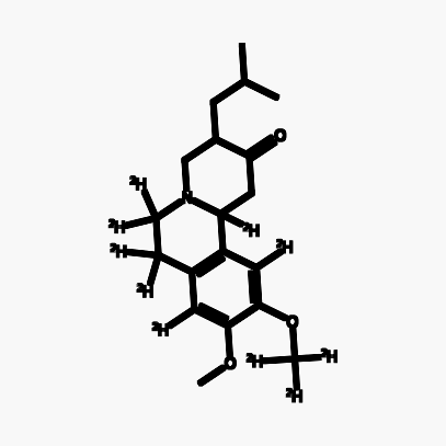 [2H]c1c(OC([2H])([2H])[2H])c(OC)c([2H])c2c1C1([2H])CC(=O)C(CC(C)C)CN1C([2H])([2H])C2([2H])[2H]